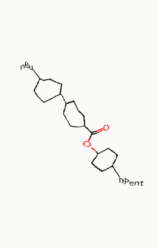 CCCCCC1CCC(OC(=O)C2CCC(C3CCC(CCCC)CC3)CC2)CC1